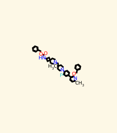 Cc1ccc(-c2ccc(N3CCC(C)(CN4CCC5(CC4)CC(NC(=O)OCc4ccccc4)C5)CC3)c(F)c2)c(OCc2ccccc2)n1